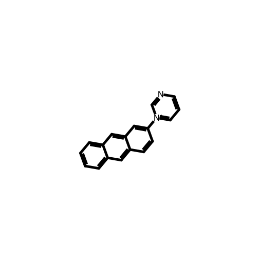 c1ccc2cc3cc(-[n+]4cccnc4)ccc3cc2c1